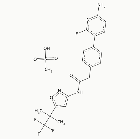 CC(C)(c1cc(NC(=O)Cc2ccc(-c3ccc(N)nc3F)cc2)no1)C(F)(F)F.CS(=O)(=O)O